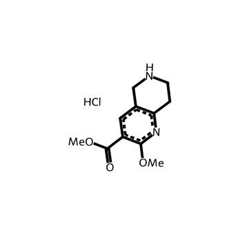 COC(=O)c1cc2c(nc1OC)CCNC2.Cl